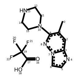 Cc1cc2nccn2nc1N1CCNCC1.O=C(O)C(F)(F)F